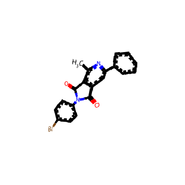 Cc1nc(-c2ccccc2)cc2c1C(=O)N(c1ccc(Br)cc1)C2=O